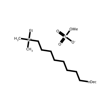 CCCCCCCCCCCCCCCCCC[N+](C)(C)CC.COS(=O)(=O)[O-]